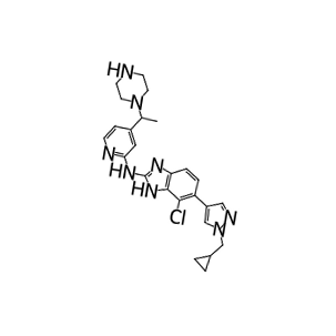 CC(c1ccnc(Nc2nc3ccc(-c4cnn(CC5CC5)c4)c(Cl)c3[nH]2)c1)N1CCNCC1